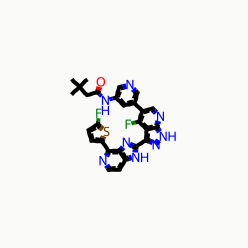 CC(C)(C)CC(=O)Nc1cncc(-c2cnc3[nH]nc(-c4nc5c(-c6ccc(F)s6)nccc5[nH]4)c3c2F)c1